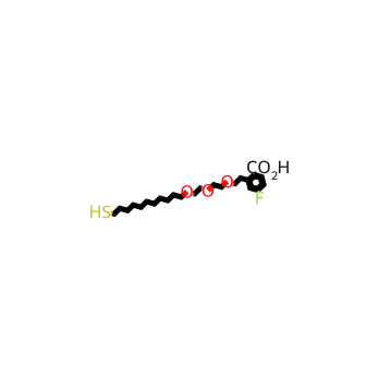 O=C(O)c1ccc(F)cc1CCOCCOCCOCCCCCCCCCCCS